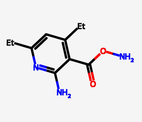 CCc1cc(CC)c(C(=O)ON)c(N)n1